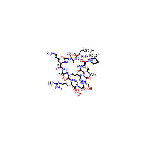 CSCC[C@H](NC(=O)CNC(=O)[C@H](CO)NC(=O)[C@H](CO)NC(=O)[C@H](CCCN=C(N)N)NC(=O)[C@H](CCCCN)NC(=O)[C@H](C)NC(=O)[C@H](CCCCN)NC(=O)[C@H](CO)NC(=O)[C@H](C)NC(=O)[C@@H](N)CC(=O)O)C(=O)N1CCC[C@H]1C(=O)O